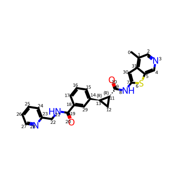 Cc1cncc2sc(NC(=O)[C@@H]3C[C@H]3c3cccc(C(=O)NCc4ccccn4)c3)cc12